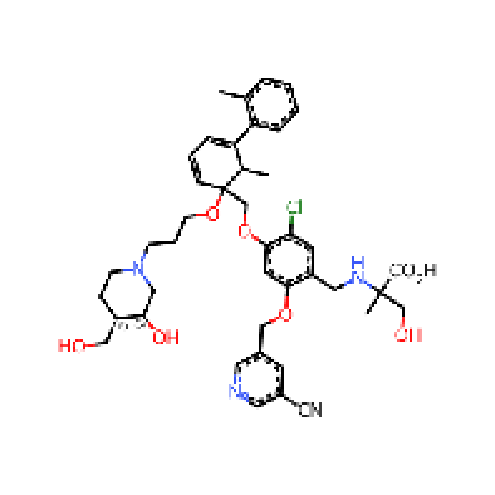 Cc1ccccc1C1=CC=CC(COc2cc(OCc3cncc(C#N)c3)c(CNC(C)(CO)C(=O)O)cc2Cl)(OCCCN2CC[C@H](CO)[C@H](O)C2)C1C